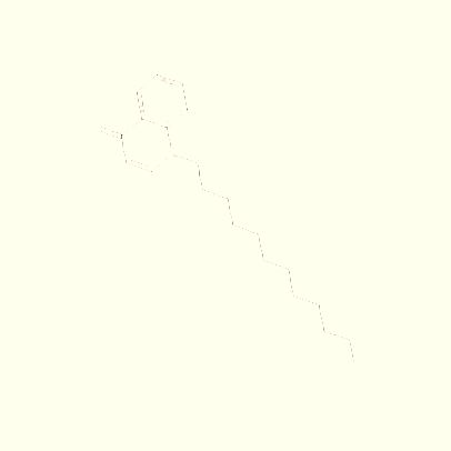 C=C1C=CN(CCCCCCCCCCCC)c2ccccc21